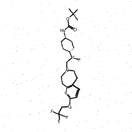 CC(C)(C)OC(=O)N[C@H]1CC[C@H]([C@@H](F)CN2CCc3ccc(OCC(F)(F)F)nc3CC2)CC1